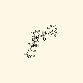 O=C(NCC12CC3CC(CC(C3)C1)C2)c1cccc2nc(NC(=O)C3CCOCC3)cn12